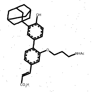 CC(=O)NCCCOc1cc(C=CC(=O)O)ccc1-c1ccc(O)c(C23CC4CC(CC(C4)C2)C3)c1